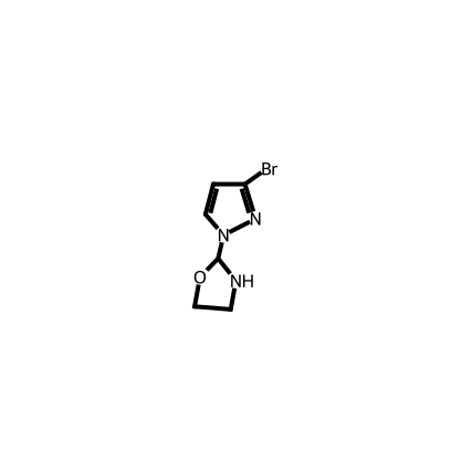 Brc1ccn(C2NCCO2)n1